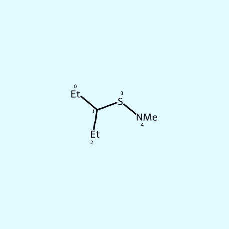 CCC(CC)SNC